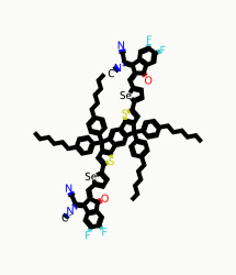 [C-]#[N+]/C(C#N)=C1\C(=C\c2ccc(-c3cc4c(s3)-c3cc5c(cc3C4(c3ccc(CCCCCC)cc3)c3ccc(CCCCCC)cc3)-c3sc(-c4ccc(/C=C6\C(=O)c7cc(F)c(F)cc7\C6=C(\C#N)[N+]#[C-])[se]4)cc3C5(c3ccc(CCCCCC)cc3)c3ccc(CCCCCC)cc3)[se]2)C(=O)c2cc(F)c(F)cc21